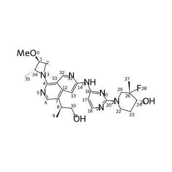 CO[C@H]1CN(c2ncc([C@H](C)CO)c3cc(Nc4ccnc(N5CC[C@@H](O)[C@@](C)(F)C5)n4)ncc23)[C@@H]1C